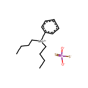 CCC[CH2][Mo+3]([CH2]CCC)[c]1ccccc1.[O-]P([O-])(=S)[S-]